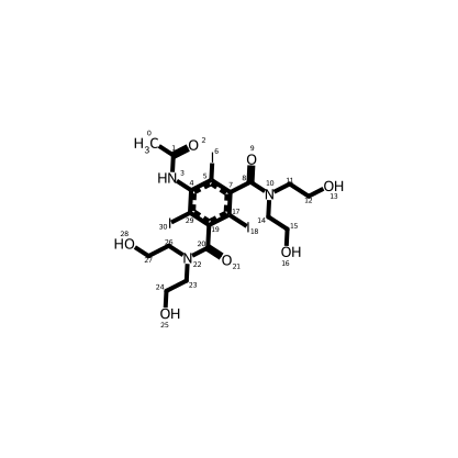 CC(=O)Nc1c(I)c(C(=O)N(CCO)CCO)c(I)c(C(=O)N(CCO)CCO)c1I